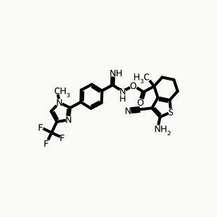 Cn1cc(C(F)(F)F)nc1-c1ccc(C(=N)NOC(=O)C2(C)CCCc3sc(N)c(C#N)c32)cc1